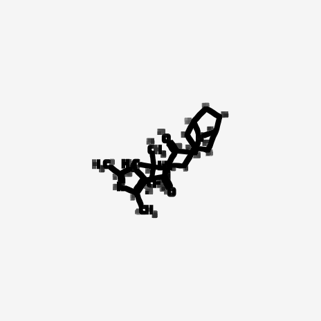 Cc1nc(C)c(C(=O)NCC2CC3CCC(C2)N3CC(=O)NC(C)(C)C)s1